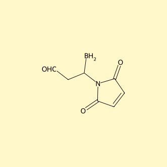 BC(CC=O)N1C(=O)C=CC1=O